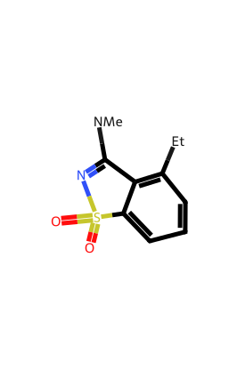 CCc1cccc2c1C(NC)=NS2(=O)=O